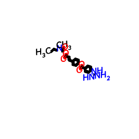 CCCCN(C)C(=O)COC(=O)/C=C/c1ccc(OC(=O)c2ccc(NC(=N)N)cc2)cc1